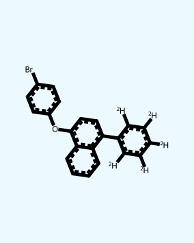 [2H]c1c([2H])c([2H])c(-c2ccc(Oc3ccc(Br)cc3)c3ccccc23)c([2H])c1[2H]